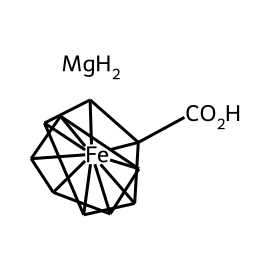 O=C(O)[C]12[CH]3[CH]4[CH]5[CH]1[Fe]45321678[CH]2[CH]1[CH]6[CH]7[CH]28.[MgH2]